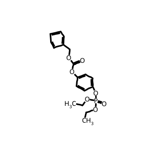 CCOP(=O)(OCC)Oc1ccc(OC(=O)OCc2ccccc2)cc1